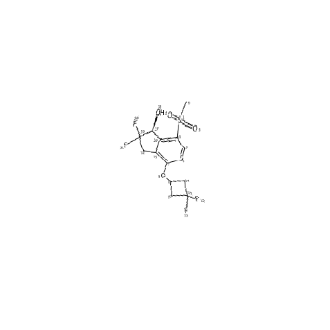 CS(=O)(=O)c1ccc(OC2CC(F)(F)C2)c2c1[C@H](O)C(F)(F)C2